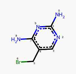 Nc1ncc(CBr)c(N)n1